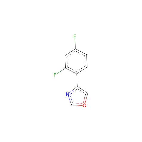 Fc1ccc(-c2co[c]n2)c(F)c1